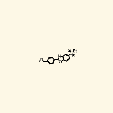 CCS(=O)(=O)c1ccc2oc(-c3ccc(CN)cc3)nc2c1